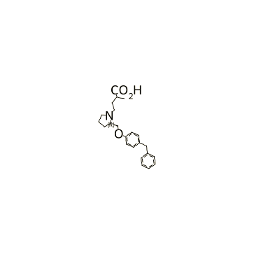 CC(CCN1CCC[C@@H]1COc1ccc(Cc2ccccc2)cc1)C(=O)O